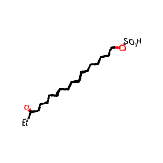 CCC(=O)CCCCCCCCCCCCCCCCOS(=O)(=O)O